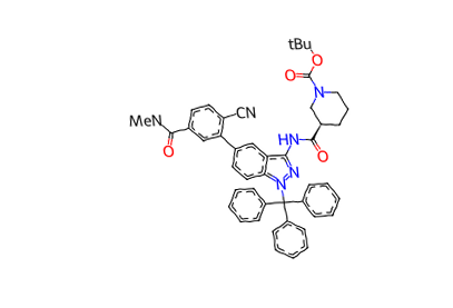 CNC(=O)c1ccc(C#N)c(-c2ccc3c(c2)c(NC(=O)[C@@H]2CCCN(C(=O)OC(C)(C)C)C2)nn3C(c2ccccc2)(c2ccccc2)c2ccccc2)c1